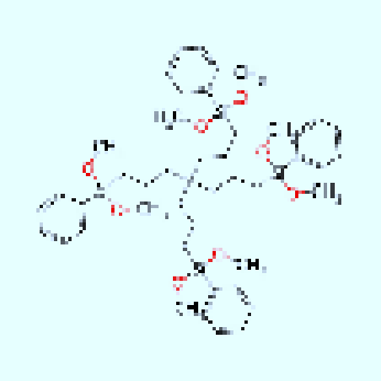 CO[Si](CCCC(CCC[Si](OC)(OC)c1ccccc1)(CCC[Si](OC)(OC)c1ccccc1)CCC[Si](OC)(OC)c1ccccc1)(OC)c1ccccc1